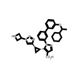 CC(Oc1cccc(-c2cccc(-n3ncc(C(=O)O)c3[C@@H]3C[C@H]3c3cn(C4CNC4)nn3)c2)c1)C1CCCCC1